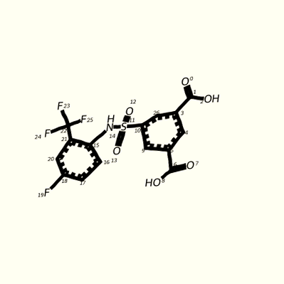 O=C(O)c1cc(C(=O)O)cc(S(=O)(=O)Nc2ccc(F)cc2C(F)(F)F)c1